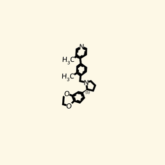 Cc1cc(-c2ccncc2C)ccc1CN1CCC[C@H]1c1ccc2c(c1)OCCO2